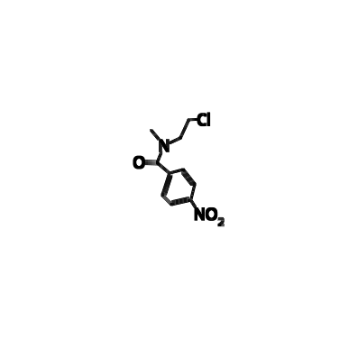 CN(CCCl)C(=O)c1ccc([N+](=O)[O-])cc1